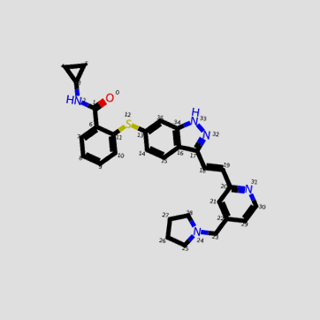 O=C(NC1CC1)c1ccccc1Sc1ccc2c(/C=C/c3cc(CN4CCCC4)ccn3)n[nH]c2c1